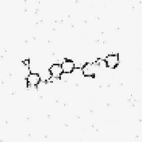 N=C/C(=C\NCc1cccnc1)c1cnc2ccc(Nc3cc(C4CC4)cnn3)nc2c1